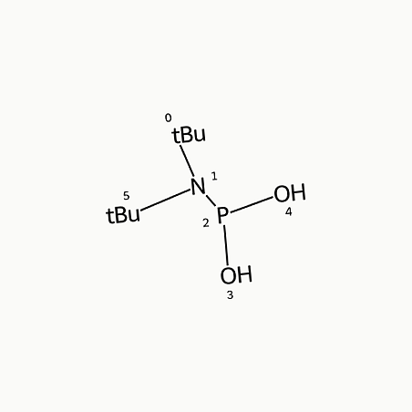 CC(C)(C)N(P(O)O)C(C)(C)C